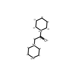 O=C(CN1CC[N]CC1)N1CCCCC1